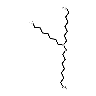 CCCCCCCC[O][Pb]([CH2]CCCCCCC)[CH2]CCCCCCC